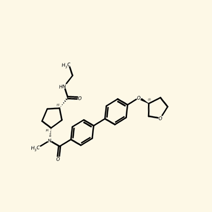 CCNC(=O)[C@H]1CC[C@@H](N(C)C(=O)c2ccc(-c3ccc(O[C@H]4CCOC4)cc3)cc2)C1